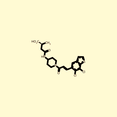 C[C@@H](CC(=O)NC1CCN(C(=O)C=Cc2cc3ccsc3c(Cl)c2Cl)CC1)C(=O)O